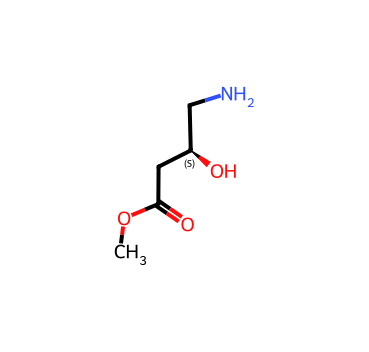 COC(=O)C[C@H](O)CN